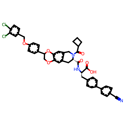 N#Cc1ccc(-c2ccc(C[C@H](NC(=O)[C@@H]3Cc4cc5c(cc4CN3C(=O)C3CCC3)OC(c3ccc(OCc4ccc(Cl)c(Cl)c4)cc3)CO5)C(=O)O)cc2)cc1